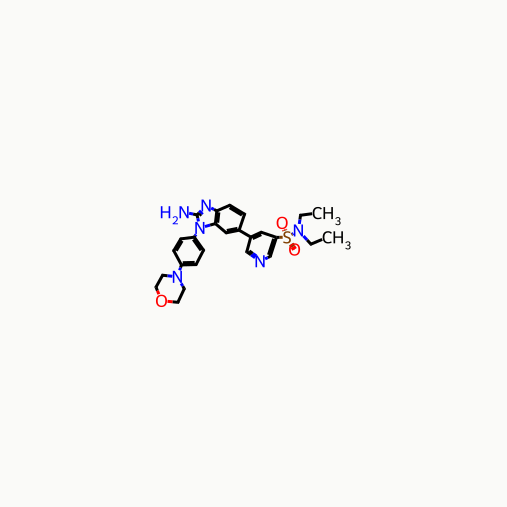 CCN(CC)S(=O)(=O)c1cncc(-c2ccc3nc(N)n(-c4ccc(N5CCOCC5)cc4)c3c2)c1